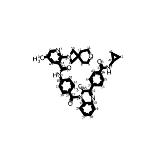 Cc1cnc(N2CC3(CCOCC3)C2)c(C(=O)Nc2ccc(C(=O)N3c4ccccc4N=C(c4ccc(C(=O)NC5CC5)cc4)[C@@H]3C)cc2)c1